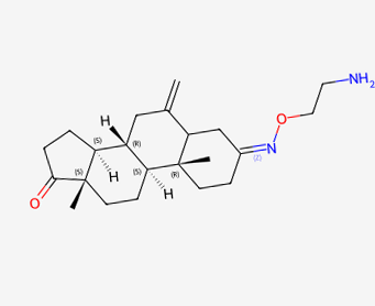 C=C1C[C@@H]2[C@H](CC[C@]3(C)C(=O)CC[C@@H]23)[C@@]2(C)CC/C(=N/OCCN)CC12